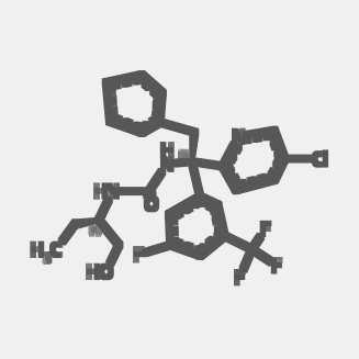 CC[C@H](CO)NC(=O)N[C@@](Cc1ccccc1)(c1cc(F)cc(C(F)(F)F)c1)c1ccc(Cl)cn1